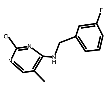 Cc1cnc(Cl)nc1NCc1cccc(F)c1